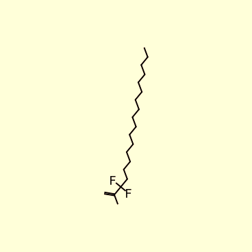 C=C(C)C(F)(F)CCCCCCCCCCCCCCCC